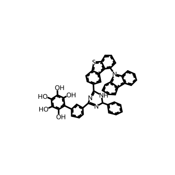 Oc1c(O)c(O)c(-c2cccc(C3=NC(c4ccccc4)NC(c4ccc5sc6cccc(-n7c8ccccc8c8ccccc87)c6c5c4)=N3)c2)c(O)c1O